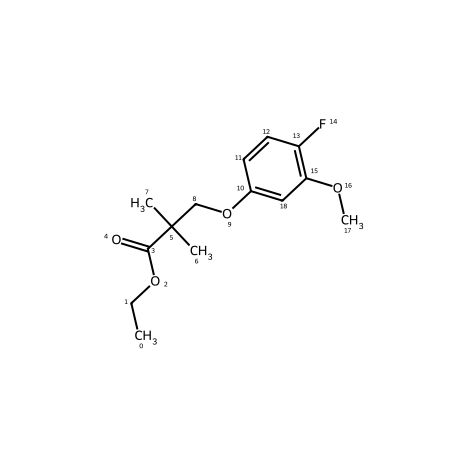 CCOC(=O)C(C)(C)COc1ccc(F)c(OC)c1